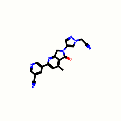 Cc1cc(-c2cncc(C#N)c2)nc2c1C(=O)N(c1cnn(CC#N)c1)C2